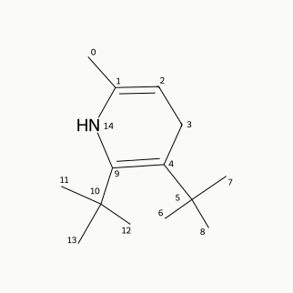 CC1=CCC(C(C)(C)C)=C(C(C)(C)C)N1